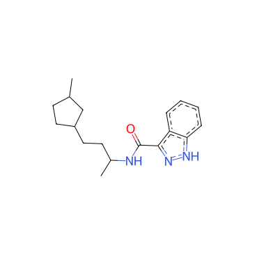 CC1CCC(CCC(C)NC(=O)c2n[nH]c3ccccc23)C1